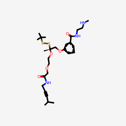 CNCCNC(=O)c1cccc(OC[C@](C)(OCCOCC(=O)NCC#CC(C)C)SSC(C)(C)C)c1